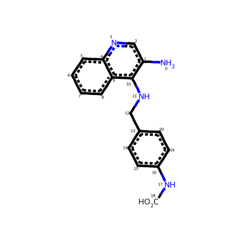 Nc1cnc2ccccc2c1NCc1ccc(NC(=O)O)cc1